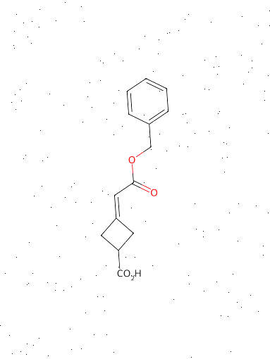 O=C(C=C1CC(C(=O)O)C1)OCc1ccccc1